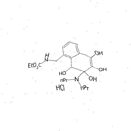 CCCN(CCC)C1(O)C(O)=C(O)c2cccc(CNC(=O)OCC)c2C1O.Cl